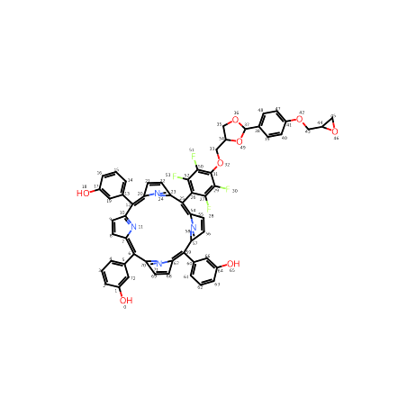 Oc1cccc(C2=C3C=CC(=N3)C(c3cccc(O)c3)=C3C=CC(=N3)C(c3c(F)c(F)c(OCC4COC(c5ccc(OCC6CO6)cc5)O4)c(F)c3F)=C3C=CC(=N3)C(c3cccc(O)c3)=C3C=CC2=N3)c1